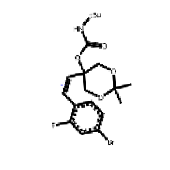 CC(C)(C)NC(=O)OC1(/C=C\c2ccc(Br)cc2F)COC(C)(C)OC1